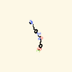 FC1(F)Oc2ccc(C=Cc3nc(CNc4ccc(CCCCn5ccnn5)cc4)co3)cc2O1